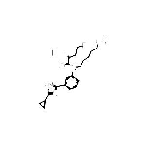 C=C(CCF)C(=O)N(CCCCCC#N)c1cccc(-c2nc(C3CC3)no2)c1